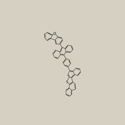 c1ccc2c(c1)ccc1c2sc2cc(-c3ccc(-c4c5ccccc5c(-c5ccc6oc7ccccc7c6c5)c5ccccc45)cc3)c3ccccc3c21